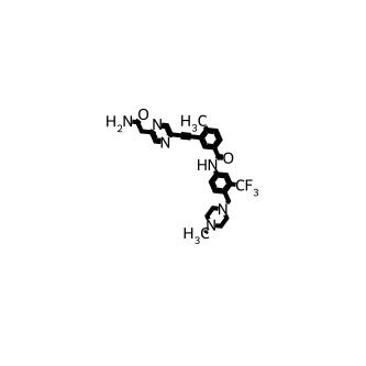 Cc1ccc(C(=O)Nc2ccc(CN3CCN(C)CC3)c(C(F)(F)F)c2)cc1C#Cc1cnc(CC(N)=O)cn1